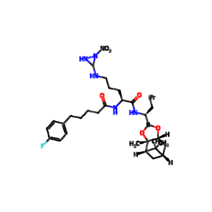 CC(C)C[C@H](NC(=O)[C@H](CCCNC1NN1[N+](=O)[O-])NC(=O)CCCCc1ccc(F)cc1)B1O[C@@H]2C[C@@H]3C[C@@H](C3(C)C)[C@]2(C)O1